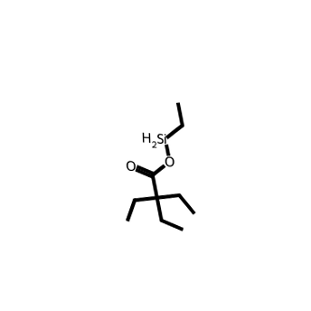 CC[SiH2]OC(=O)C(CC)(CC)CC